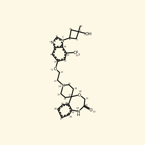 CC1(O)CC(n2cnc3cc(OCCN4CCC5(CC4)OCC(=O)Nc4ccccc45)cc(C(F)(F)F)c32)C1